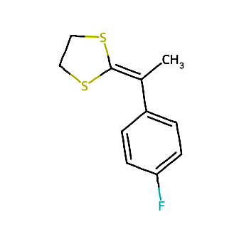 CC(=C1SCCS1)c1ccc(F)cc1